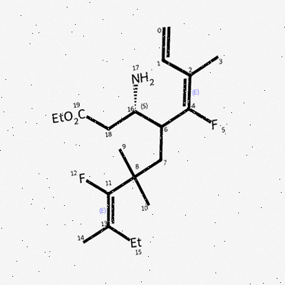 C=C/C(C)=C(/F)C(CC(C)(C)/C(F)=C(/C)CC)[C@@H](N)CC(=O)OCC